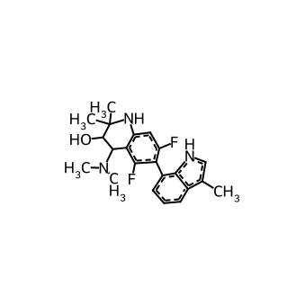 Cc1c[nH]c2c(-c3c(F)cc4c(c3F)C(N(C)C)C(O)C(C)(C)N4)cccc12